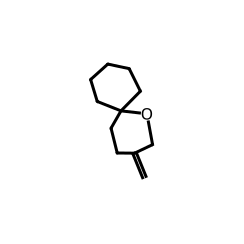 C=C1CCC2(CCCCC2)OC1